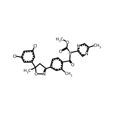 COC(=O)N(C(=O)c1ccc(C2=NOC(C)(c3cc(Cl)cc(Cl)c3)C2)cc1C)c1cnc(C)cn1